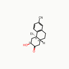 CC[C@@]12C[C@H](O)C(=O)C[C@H]1CCc1cc(C#N)ccc12